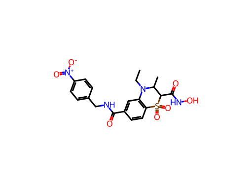 CCN1c2cc(C(=O)NCc3ccc([N+](=O)[O-])cc3)ccc2S(=O)(=O)C(C(=O)NO)C1C